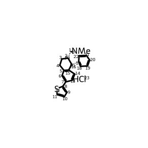 CNC[C@H]1CCc2cc(-c3cccs3)ccc2[C@H]1c1ccccc1.Cl